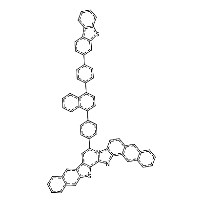 c1ccc2cc3c(ccc4c3nc3c5sc6cc7ccccc7cc6c5cc(-c5ccc(-c6ccc(-c7ccc(-c8ccc9c(c8)sc8ccccc89)cc7)c7ccccc67)cc5)n43)cc2c1